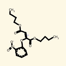 CCCCOC(=O)/C=C(\Oc1ccccc1[N+](=O)[O-])C(=O)OCCCC